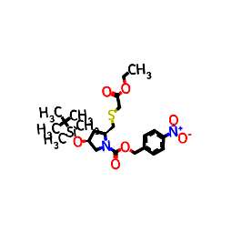 CCOC(=O)CSC[C@@H]1C[C@H](O[Si](C)(C)C(C)(C)C)CN1C(=O)OCc1ccc([N+](=O)[O-])cc1